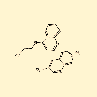 N.O=[N+]([O-])c1cnc2ccccc2c1.OCCNc1ccnc2ccccc12